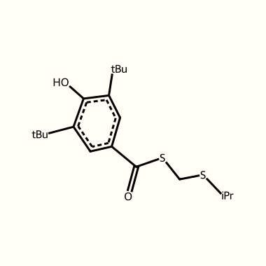 CC(C)SCSC(=O)c1cc(C(C)(C)C)c(O)c(C(C)(C)C)c1